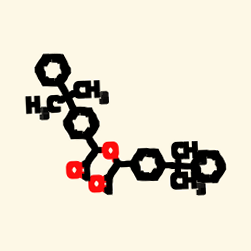 CC(C)(c1ccccc1)c1ccc(C(OC(c2ccc(C(C)(C)c3ccccc3)cc2)C2CO2)C2CO2)cc1